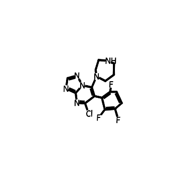 Fc1ccc(F)c(-c2c(Cl)nc3ncnn3c2N2CCCNCC2)c1F